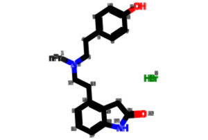 Br.CCCN(CCc1ccc(O)cc1)CCc1cccc2c1CC(=O)N2